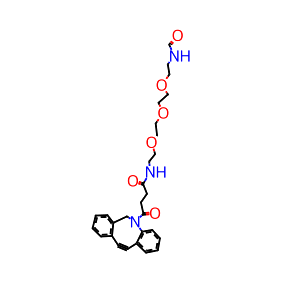 O=CNCCOCCOCCOCCNC(=O)CCC(=O)N1Cc2ccccc2C#Cc2ccccc21